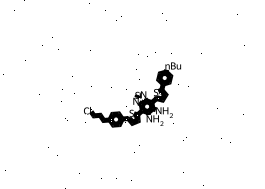 CCCCc1ccc(-c2ccc(-c3c(N)c(N)c(-c4ccc(-c5ccc(CCCCl)cc5)s4)c4nsnc34)s2)cc1